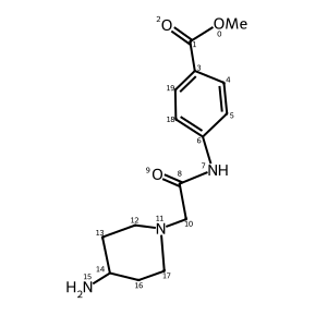 COC(=O)c1ccc(NC(=O)CN2CCC(N)CC2)cc1